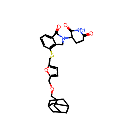 O=C1CCC(N2Cc3c(SCc4ccc(COCC56CC7CC(CC(C7)C5)C6)o4)cccc3C2=O)C(=O)N1